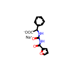 O=C(NC(=O)c1ccco1)NC(C(=O)[O-])c1ccccc1.[Na+]